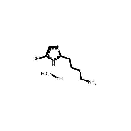 NCCCCc1ncc(Br)[nH]1.O=S(=O)(O)O